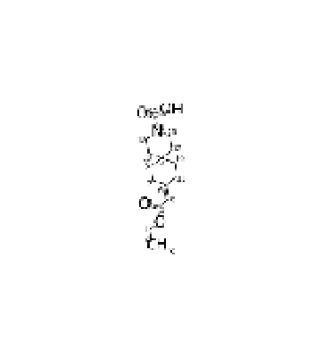 CCOC(=O)C=C1CCC2(CC1)CCN(C(=O)O)CC2